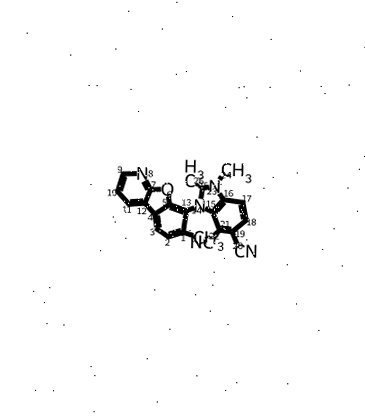 Cc1ccc2c(oc3ncccc32)c1N1c2c(ccc(C#N)c2C#N)N(C)[C@@H]1C